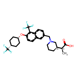 C[C@H](C(=O)O)[C@H]1CCCN(Cc2ccc3c(C(F)(F)F)c(O[C@H]4CC[C@@H](C(F)(F)F)CC4)ccc3c2)C1